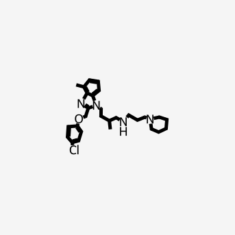 Cc1cccc2c1nc(COc1ccc(Cl)cc1)n2CCC(C)CNCCCN1CCCCC1